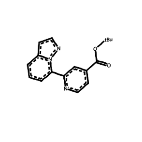 CC(C)(C)OC(=O)c1ccnc(-c2cccc3ccnn23)c1